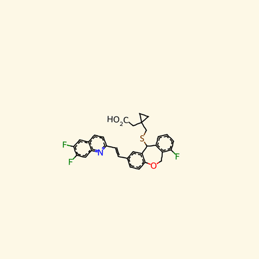 O=C(O)CC1(CSC2c3cc(C=Cc4ccc5cc(F)c(F)cc5n4)ccc3OCc3c(F)cccc32)CC1